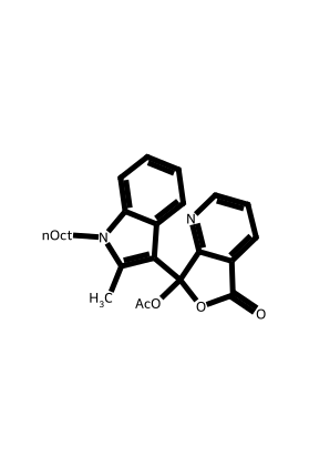 CCCCCCCCn1c(C)c(C2(OC(C)=O)OC(=O)c3cccnc32)c2ccccc21